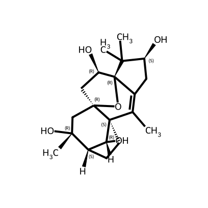 CC1=C2C[C@H](O)C(C)(C)[C@]23O[C@]2(C[C@H]3O)C[C@@](C)(O)[C@H]3CC[C@@]12[C@@H]3O